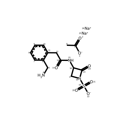 CC(=O)[O-].NCc1ccccc1CC(=O)NC1CN(S(=O)(=O)[O-])C1=O.[Na+].[Na+]